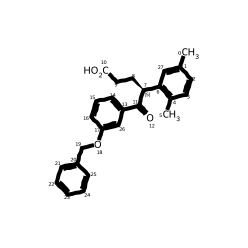 Cc1ccc(C)c([C@H](CCC(=O)O)C(=O)c2cccc(OCc3ccccc3)c2)c1